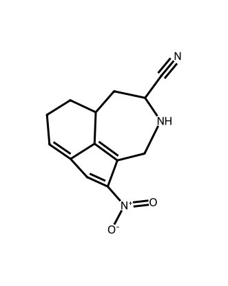 N#CC1CC2CCC=C3C=C([N+](=O)[O-])C(=C32)CN1